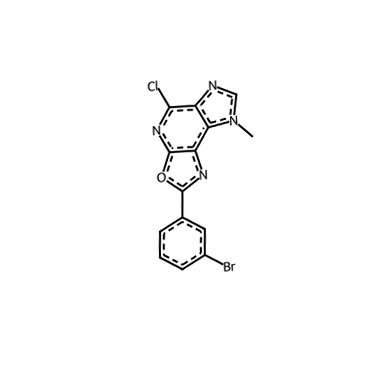 Cn1cnc2c(Cl)nc3oc(-c4cccc(Br)c4)nc3c21